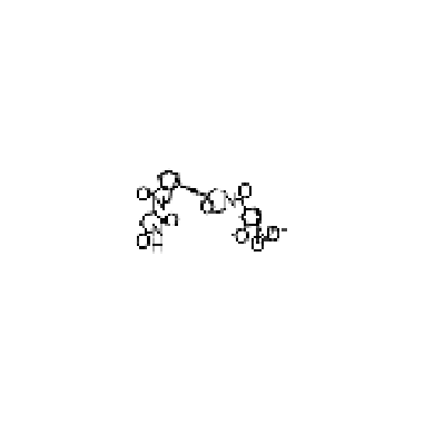 COc1cc(C(=O)N2CCO[C@@H](C#Cc3cccc4c3CN(C3CCC(=O)NC3=O)C4=O)CC2)ccc1[N+](=O)[O-]